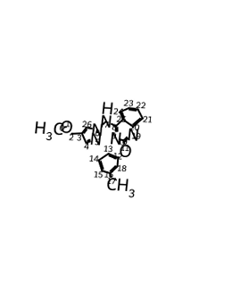 COCc1cnn(Nc2nc(Oc3cccc(C)c3)nc3ccccc23)c1